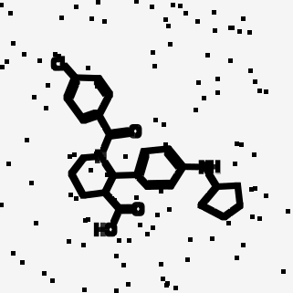 O=C(O)C1CCCN(C(=O)c2ccc(Cl)cc2)C1c1ccc(NC2CCCC2)cc1